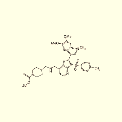 COc1cc2c(nc1OC)c(-c1cc3c(CNCC4CCN(C(=O)OC(C)(C)C)CC4)ccnc3n1S(=O)(=O)c1ccc(C)cc1)cn2C